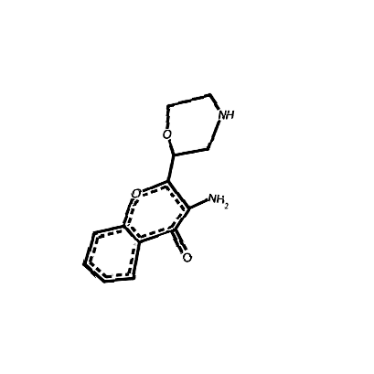 Nc1c(C2CNCCO2)oc2ccccc2c1=O